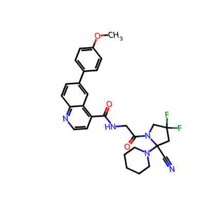 COc1ccc(-c2ccc3nccc(C(=O)NCC(=O)N4CC(F)(F)CC4(C#N)N4CCCCC4)c3c2)cc1